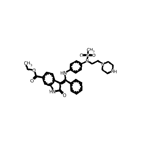 CCOC(=O)c1ccc2c(c1)NC(=O)C2=C(Nc1ccc(N(CCN2CCNCC2)S(C)(=O)=O)cc1)c1ccccc1